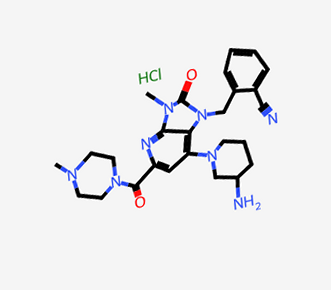 CN1CCN(C(=O)c2cc(N3CCCC(N)C3)c3c(n2)n(C)c(=O)n3Cc2ccccc2C#N)CC1.Cl